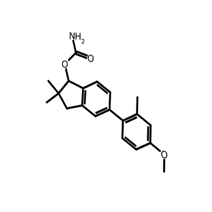 COc1ccc(-c2ccc3c(c2)CC(C)(C)C3OC(N)=O)c(C)c1